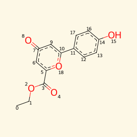 CCOC(=O)c1cc(=O)cc(-c2ccc(O)cc2)o1